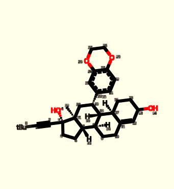 CC(C)(C)C#C[C@]1(O)CC[C@H]2[C@@H]3CCC4=CC(O)CC[C@@H]4[C@H]3[C@@H](c3ccc4c(c3)OCCO4)C[C@@]21C